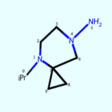 CC(C)N1CCN(N)CC12CC2